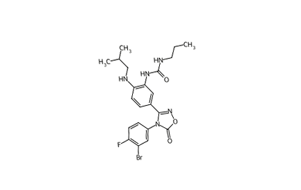 CCCNC(=O)Nc1cc(-c2noc(=O)n2-c2ccc(F)c(Br)c2)ccc1NCC(C)C